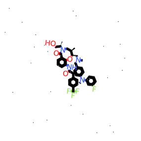 C[C@@H]1CN([C@@H](C)CO)C(=O)c2cccc(NC(=O)Cc3ccc(C(F)(F)F)cc3)c2O[C@@H]1CN(C)Cc1ccc(N(C)c2cccc(F)c2)cc1